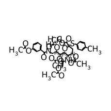 COC(=O)[C@]1(Sc2ccc(C)cc2)C[C@H](OC(C)=O)[C@@H](NC(=O)COC(C)=O)[C@H]([C@H](OC(C)=O)[C@@H](CNC(=O)c2cccc(OC(C)=O)c2)OC(C)=O)O1